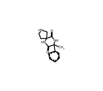 CC1(c2ccccc2)NC(=O)C2(CCNC2)NC1=O